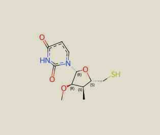 CO[C@@H]1[C@H](C)[C@@H](CS)O[C@H]1n1ccc(=O)[nH]c1=O